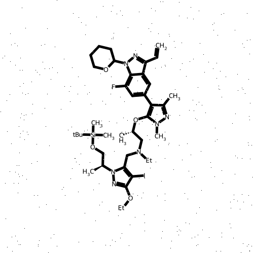 C=Cc1nn(C2CCCCO2)c2c(F)cc(-c3c(C)nn(C)c3O[C@@H](C)CN(CC)Cc3c(I)c(OCC)nn3[C@@H](C)CO[Si](C)(C)C(C)(C)C)cc12